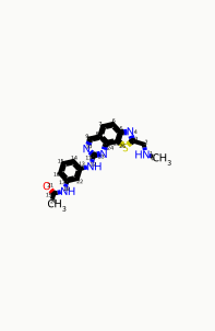 CNCc1nc2ccc3cnc(Nc4cccc(NC(C)=O)c4)nc3c2s1